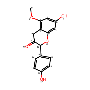 COc1cc(O)cc2c1CC(=O)C(c1ccc(O)cc1)O2